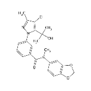 Cc1nn(-c2cccc(C(=O)N(C)c3ccc4c(c3)OCO4)c2)c(C(C)(C)O)c1Cl